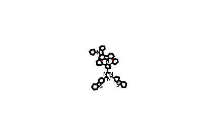 c1ccc(-c2cc(-c3nc(-c4ccc5c(c4)sc4ccccc45)nc(-c4ccc5c(c4)sc4ccccc45)n3)cc(-c3ccccc3)c2-n2c3ccccc3c3c4c5ccccc5n(-c5ccccc5)c4ccc32)cc1